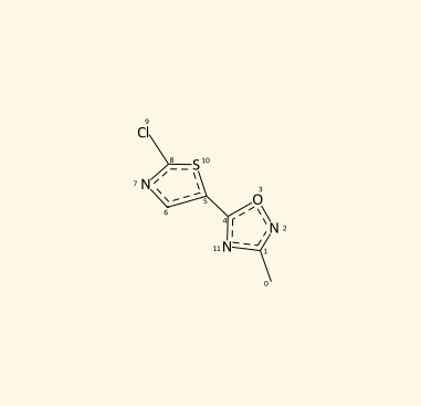 Cc1noc(-c2cnc(Cl)s2)n1